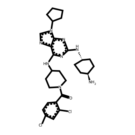 N[C@H]1CC[C@H](Nc2nc(NC3CCN(C(=O)c4ccc(Cl)cc4Cl)CC3)c3ncn(C4CCCC4)c3n2)CC1